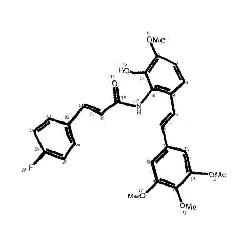 COc1ccc(/C=C/c2cc(OC)c(OC)c(OC)c2)c(NC(=O)/C=C/c2ccc(F)cc2)c1O